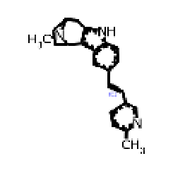 Cc1ccc(/C=C/c2ccc3[nH]c4c(c3c2)C2CCC(C4)N2C)cn1